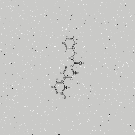 O=C(OCc1ccccc1)c1ccc(-c2nccc(I)n2)cn1